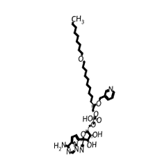 CCCCCCCCCOCCCCCCCCCC[C@H](COP(=O)(O)OC[C@H]1O[C@@](C#N)(c2ccc3c(N)ncnn23)C(O)[C@H]1O)OCc1cccnc1